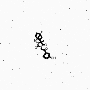 CN1C(=O)N(CC(=O)c2cccc(O)c2)C(=O)C1(C)C1C[C@H]2C=C[C@@H]1CC2